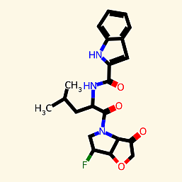 CC(C)CC(NC(=O)c1cc2ccccc2[nH]1)C(=O)N1CC(F)C2OCC(=O)C21